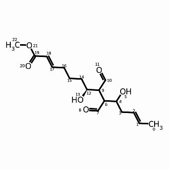 C/C=C/CC(O)C(C=O)C(C=O)[C@@H](O)CCC/C=C/C(=O)OC